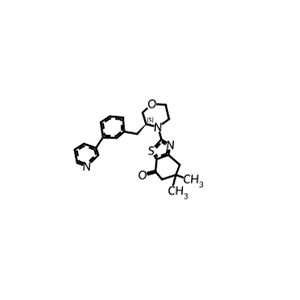 CC1(C)CC(=O)c2sc(N3CCOC[C@@H]3Cc3cccc(-c4cccnc4)c3)nc2C1